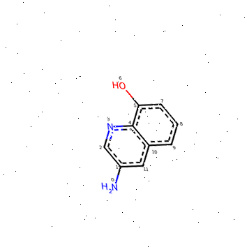 Nc1cnc2c(O)cccc2c1